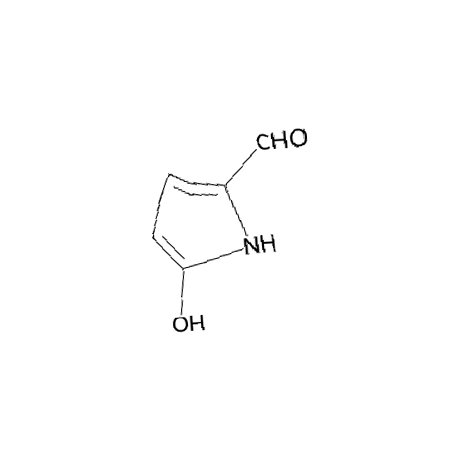 O=Cc1ccc(O)[nH]1